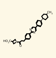 C[C@H]1CC[C@@H](c2ccc(-c3cnc(-c4ccc(CCC(=O)N5CC(C(=O)O)C5)cc4)nc3)cc2)CC1